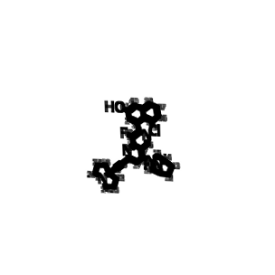 Oc1cc(-c2ncc3c(N4CC5CCC(C4)N5)cc(C#CC45CCCN4CCC5)nc3c2F)c2c(Cl)cccc2c1